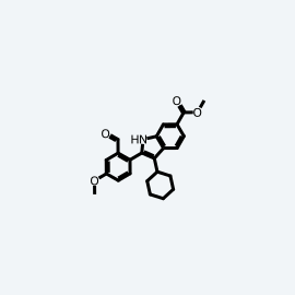 COC(=O)c1ccc2c(C3CCCCC3)c(-c3ccc(OC)cc3C=O)[nH]c2c1